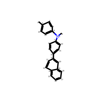 Cc1ccc(N(C)c2ccc(-c3ccc4ccccc4c3)cc2)cc1